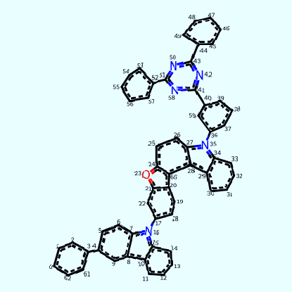 c1ccc(-c2ccc3c(c2)c2ccccc2n3-c2ccc3c(c2)oc2ccc4c(c5ccccc5n4-c4cccc(-c5nc(-c6ccccc6)nc(-c6ccccc6)n5)c4)c23)cc1